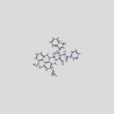 COc1ccc(CN(C(=N)CCc2ccccc2)C(=N)[C@@H](Cc2c[nH]c3ccccc23)NC(=O)c2cnccn2)c(OC)c1